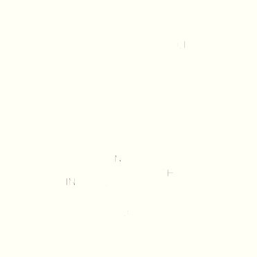 C=C/C=C\C=C(/C)N1CCNC1=O